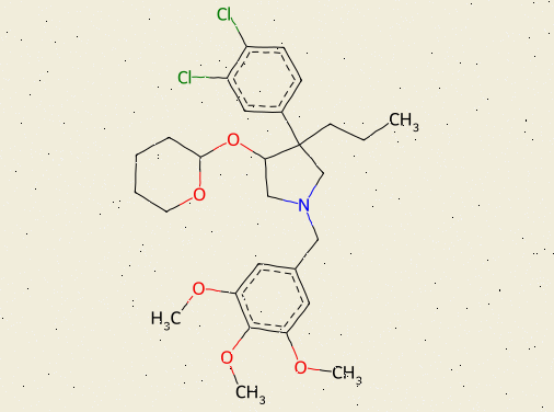 CCCC1(c2ccc(Cl)c(Cl)c2)CN(Cc2cc(OC)c(OC)c(OC)c2)CC1OC1CCCCO1